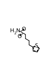 NS(=O)(=O)CCCCc1cccs1